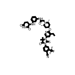 CCc1cc(N2C(=S)N(c3ccc(C#N)c(C(F)(F)F)c3)C(=O)C2(C)C)cnc1O[C@H]1C[C@@H](C)N(CC(=O)Nc2cccc(NC3CCC(=O)NC3=O)c2)[C@@H](C)C1